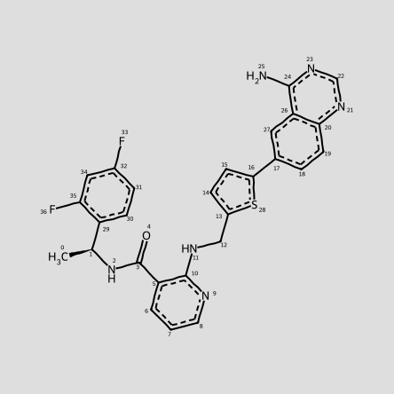 C[C@H](NC(=O)c1cccnc1NCc1ccc(-c2ccc3ncnc(N)c3c2)s1)c1ccc(F)cc1F